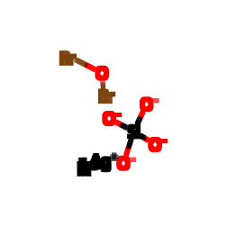 BrOBr.[Ag+].[Bi+3].[O-][Si]([O-])([O-])[O-]